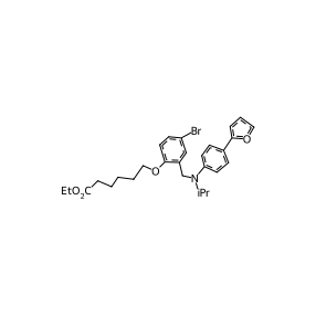 CCOC(=O)CCCCCOc1ccc(Br)cc1CN(c1ccc(-c2ccco2)cc1)C(C)C